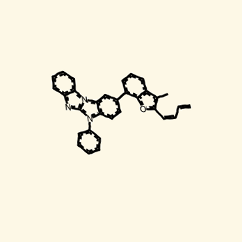 C=C/C=C\c1oc2c(-c3ccc4c(c3)n3c5ccccc5nc3n4-c3ccccc3)cccc2c1C